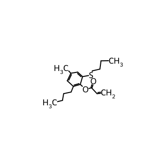 C=CC(=O)Oc1c(CCCC)cc(C)cc1SCCCC